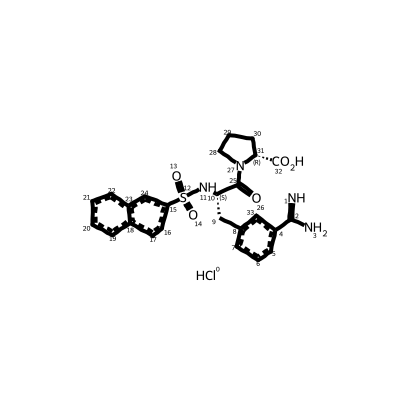 Cl.N=C(N)c1cccc(C[C@H](NS(=O)(=O)c2ccc3ccccc3c2)C(=O)N2CCC[C@@H]2C(=O)O)c1